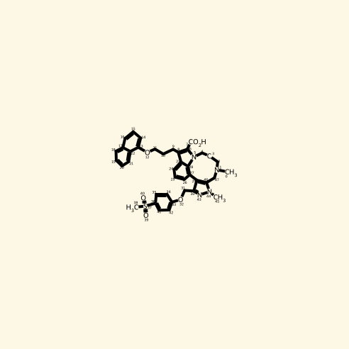 CN1CCCn2c(C(=O)O)c(CCCOc3cccc4ccccc34)c3cccc(c32)-c2c(COc3ccc(S(C)(=O)=O)cc3)nn(C)c2C1